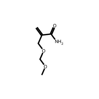 C=C(COCOC)C(N)=O